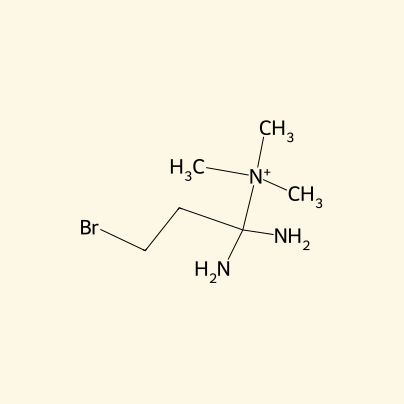 C[N+](C)(C)C(N)(N)CCBr